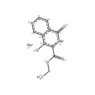 CCOC(=O)c1[nH]c(=O)c2ccncc2c1[O-].[Na+]